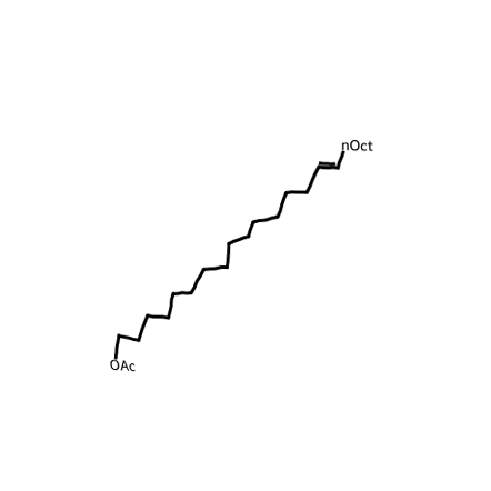 CCCCCCCCC=CCCCCCCCCCCCCCCOC(C)=O